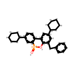 O=[PH]1Oc2c(Cc3ccccc3)cc(C3CCCCC3)cc2-c2ccc(C3CCCCC3)cc21